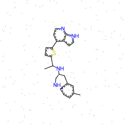 Cc1cccc(CC(CN)NC(C)c2ccc(-c3ccnc4[nH]ccc34)s2)c1